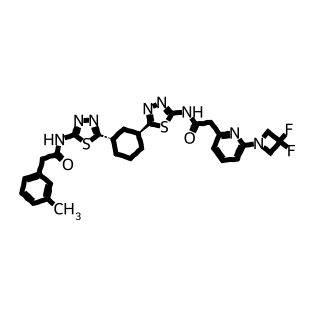 Cc1cccc(CC(=O)Nc2nnc([C@H]3CCC[C@H](c4nnc(NC(=O)Cc5cccc(N6CC(F)(F)C6)n5)s4)C3)s2)c1